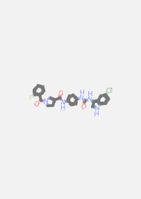 O=C(Nc1ccc(NC(=O)C2CCN(C(=O)c3ccccc3F)C2)cc1)Nc1c[nH]c2ccc(Cl)cc12